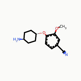 COc1cc(C#N)ccc1O[C@H]1CC[C@H](N)CC1